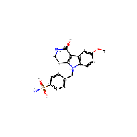 COc1ccc2c(c1)c1c(n2Cc2ccc(S(N)(=O)=O)cc2)CCNC1=O